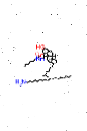 CCCCCCCCCCCCCCCCCCN.CCCCCCNC(=O)OC1C[C@H](O)CC2=CC[C@H]3[C@@H]4CC[C@H]([C@H](C)CCCC(C)C)[C@@]4(C)CC[C@@H]3[C@]21C